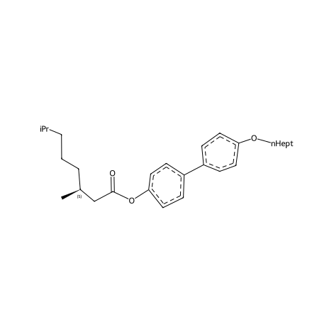 CCCCCCCOc1ccc(-c2ccc(OC(=O)C[C@@H](C)CCCC(C)C)cc2)cc1